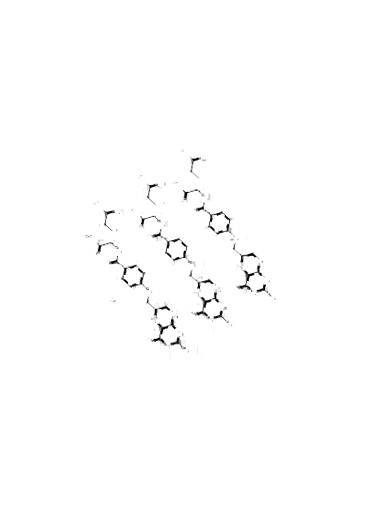 Nc1nc2ncc(CNc3ccc(C(=O)N[C@@H](CCC(=O)[O-])C(=O)O)cc3)nc2c(=O)[nH]1.Nc1nc2ncc(CNc3ccc(C(=O)N[C@@H](CCC(=O)[O-])C(=O)O)cc3)nc2c(=O)[nH]1.Nc1nc2ncc(CNc3ccc(C(=O)N[C@@H](CCC(=O)[O-])C(=O)O)cc3)nc2c(=O)[nH]1.[Gd+3]